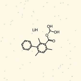 Cc1cc(C)c(-c2ccccc2)c(C)c1C(=O)OP(O)O.[LiH]